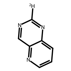 [2H]c1ncc2ncccc2n1